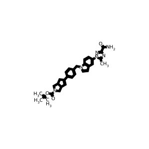 Cc1nc(C(N)=O)nn1-c1ccc2c(ccn2Cc2ccc(C3=CC4CN(C(=O)OC(C)(C)C)CC4C3)cc2)c1